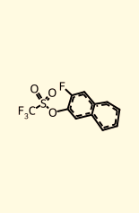 O=S(=O)(Oc1cc2ccccc2cc1F)C(F)(F)F